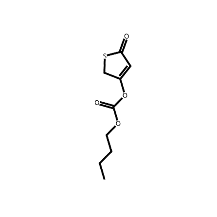 CCCCOC(=O)OC1=CC(=O)SC1